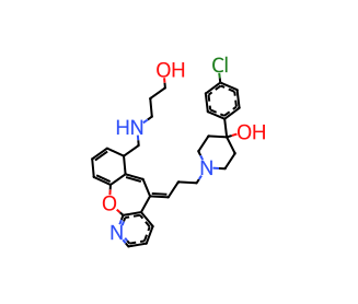 OCCCNCC1C=CC=C2Oc3ncccc3C(=CCCN3CCC(O)(c4ccc(Cl)cc4)CC3)C=C21